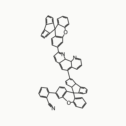 N#Cc1ccccc1-c1ccc2c(c1)Oc1ccccc1C21c2ccccc2C2C=C(C3=C4C=CC=NC4C4N=C(c5ccc6c(c5)Oc5ccccc5C65c6ccccc6-c6ccccc65)C=CC4=C3)C=CC21